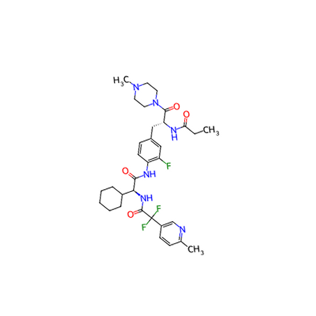 CCC(=O)N[C@H](Cc1ccc(NC(=O)[C@@H](NC(=O)C(F)(F)c2ccc(C)nc2)C2CCCCC2)c(F)c1)C(=O)N1CCN(C)CC1